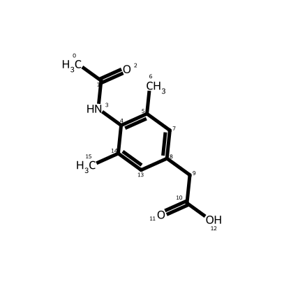 CC(=O)Nc1c(C)cc(CC(=O)O)cc1C